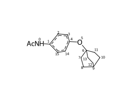 CC(=O)Nc1ccc(OC23CCC(CC2)CC3)cc1